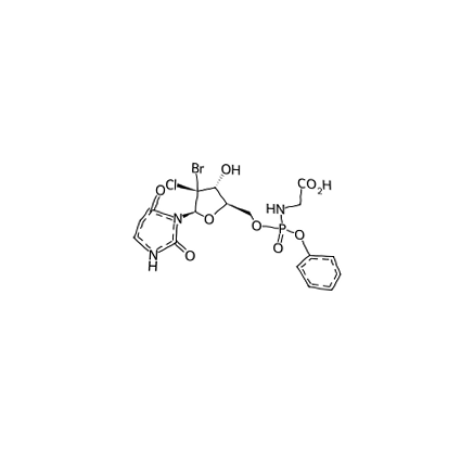 O=C(O)CNP(=O)(OC[C@H]1O[C@@H](n2c(=O)cc[nH]c2=O)[C@](Cl)(Br)[C@@H]1O)Oc1ccccc1